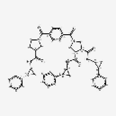 O=C(NC1C[C@@H]1c1ccccc1)[C@H]1CCN(C(=O)c2ccc(C(=O)N3C[C@@H](C(=O)NC4C[C@H]4c4ccccc4)[C@H](C(=O)N[C@H]4C[C@H]4c4ccccc4)C3)cc2)C1